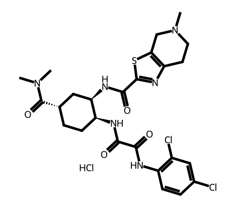 CN1CCc2nc(C(=O)N[C@@H]3C[C@@H](C(=O)N(C)C)CC[C@@H]3NC(=O)C(=O)Nc3ccc(Cl)cc3Cl)sc2C1.Cl